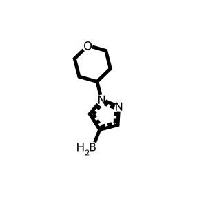 Bc1cnn(C2CCOCC2)c1